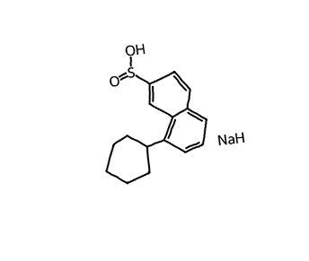 O=S(O)c1ccc2cccc(C3CCCCC3)c2c1.[NaH]